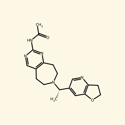 CC(=O)Nc1ncc2c(n1)CCN([C@@H](C)c1cnc3c(c1)OCC3)CC2